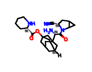 N#C[C@@H]1CC2CC2N1C(=O)[C@@H](N)C12CC3C[C@H](CC(OC(=O)[C@@H]4CCCCN4)(C3)C1)C2